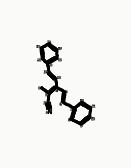 CC(C#N)=C(C=Cc1ccccc1)C=Cc1ccccc1